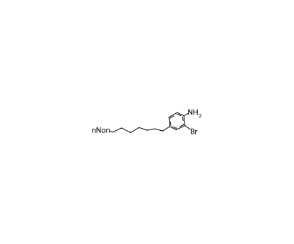 CCCCCCCCCCCCCCCCc1ccc(N)c(Br)c1